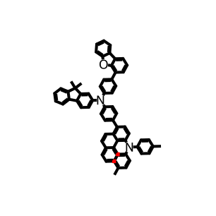 Cc1ccc(N(c2ccc(C)cc2)c2ccc(-c3ccc(N(c4ccc(-c5cccc6c5oc5ccccc56)cc4)c4ccc5c(c4)C(C)(C)c4ccccc4-5)cc3)c3ccc4ccccc4c23)cc1